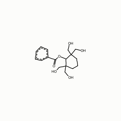 O=C(OC1C(CO)(CO)CCCC1(CO)CO)c1ccccc1